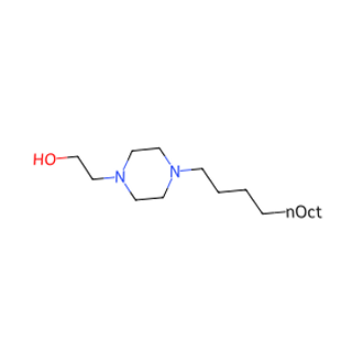 CCCCCCCCCCCCN1CCN(CCO)CC1